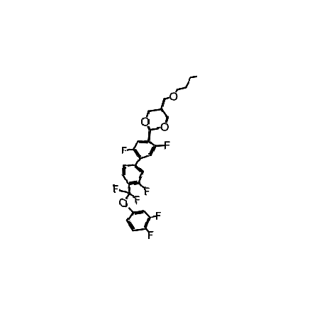 CCCCOCC1COC(c2cc(F)c(-c3ccc(C(F)(F)Oc4ccc(F)c(F)c4)c(F)c3)cc2F)OC1